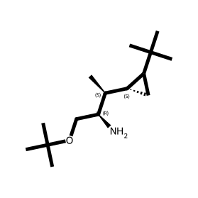 C[C@H]([C@@H](N)COC(C)(C)C)[C@H]1CC1C(C)(C)C